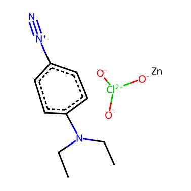 CCN(CC)c1ccc([N+]#N)cc1.[O-][Cl+2]([O-])[O-].[Zn]